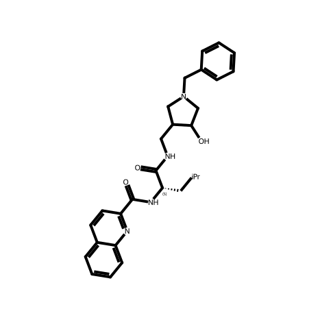 CC(C)C[C@H](NC(=O)c1ccc2ccccc2n1)C(=O)NCC1CN(Cc2ccccc2)CC1O